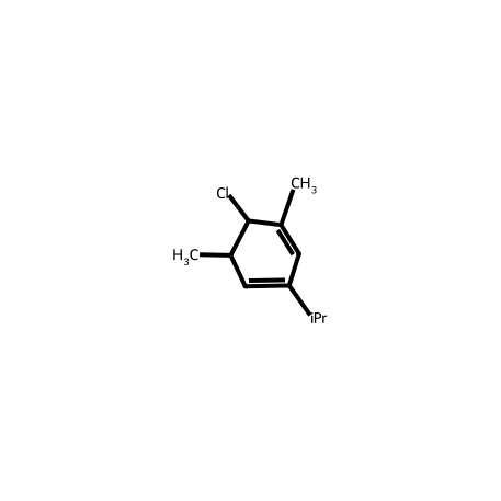 CC1=CC(C(C)C)=CC(C)C1Cl